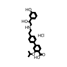 CC(C)Oc1cc(-c2ccc(CCNC[C@H](O)c3cccc(O)c3)cc2)ccc1C(=O)O.Cl